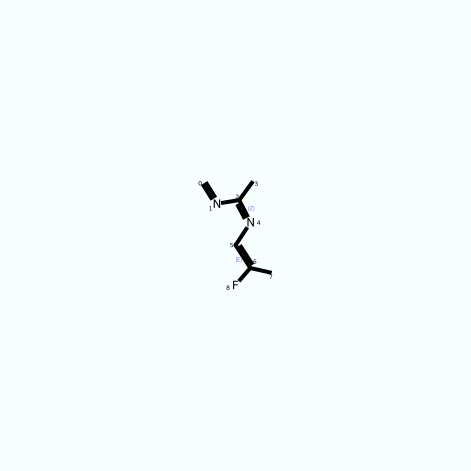 C=N/C(C)=N\C=C(/C)F